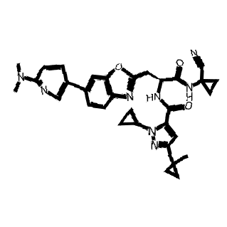 CN(C)c1ccc(-c2ccc3nc(C[C@H](NC(=O)c4cc(C5(C)CC5)nn4C4CC4)C(=O)NC4(C#N)CC4)oc3c2)cn1